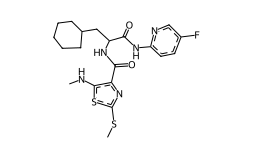 CNc1sc(SC)nc1C(=O)NC(CC1CCCCC1)C(=O)Nc1ccc(F)cn1